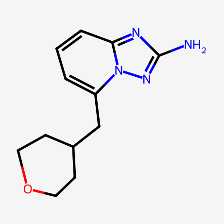 Nc1nc2cccc(CC3CCOCC3)n2n1